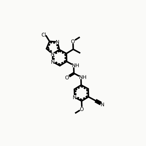 COc1ncc(NC(=O)Nc2cnn3cc(Cl)nc3c2C(C)OC)cc1C#N